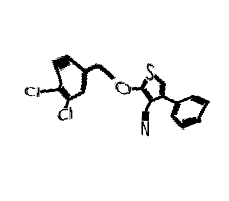 N#Cc1c(-c2ccccc2)csc1OCc1ccc(Cl)c(Cl)c1